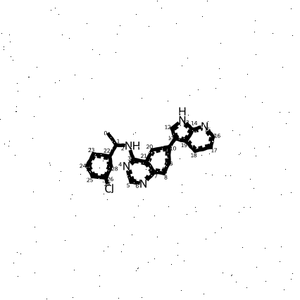 CC(Nc1ncnc2ccc(-c3c[nH]c4ncccc34)cc12)c1cccc(Cl)c1